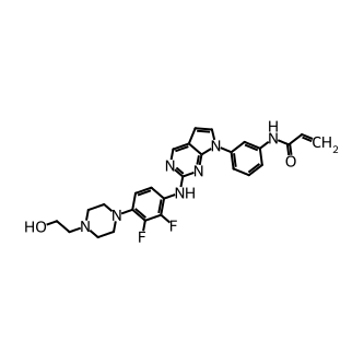 C=CC(=O)Nc1cccc(-n2ccc3cnc(Nc4ccc(N5CCN(CCO)CC5)c(F)c4F)nc32)c1